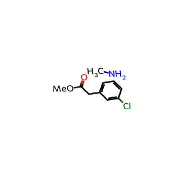 CN.COC(=O)Cc1cccc(Cl)c1